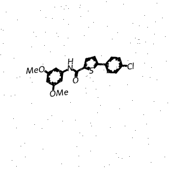 COc1cc(NC(=O)c2ccc(-c3ccc(Cl)cc3)s2)cc(OC)c1